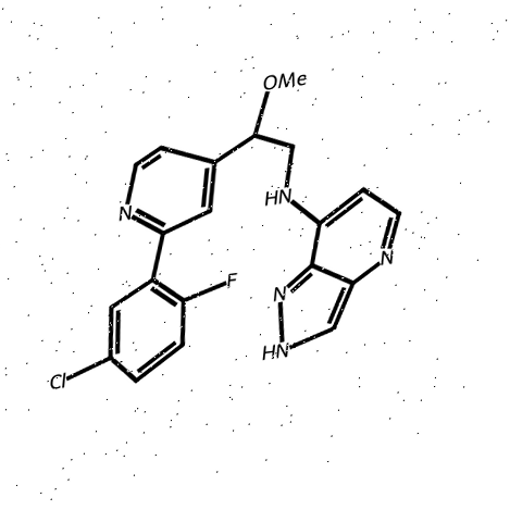 COC(CNc1ccnc2c[nH]nc12)c1ccnc(-c2cc(Cl)ccc2F)c1